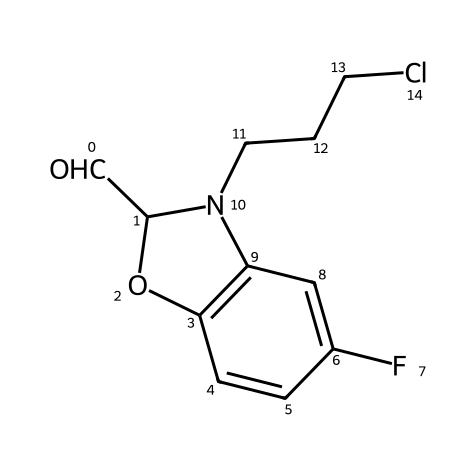 O=CC1Oc2ccc(F)cc2N1CCCCl